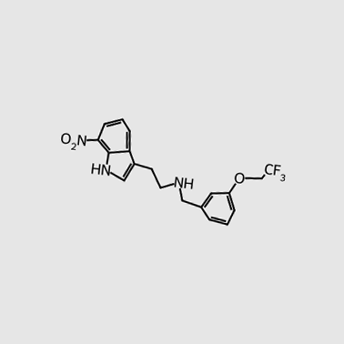 O=[N+]([O-])c1cccc2c(CCNCc3cccc(OCC(F)(F)F)c3)c[nH]c12